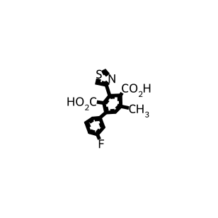 Cc1cc(-c2cccc(F)c2)c(C(=O)O)c(-c2cscn2)c1C(=O)O